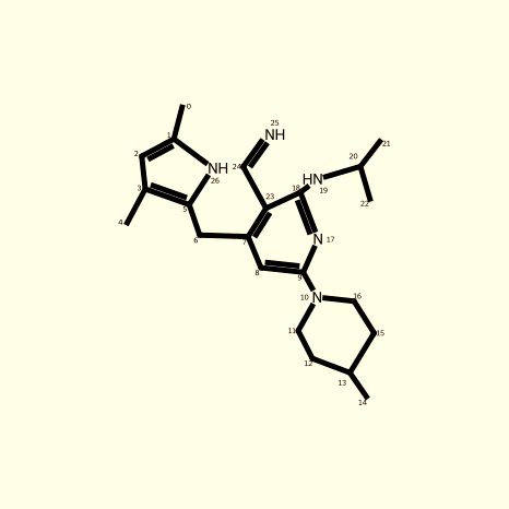 Cc1cc(C)c(Cc2cc(N3CCC(C)CC3)nc(NC(C)C)c2C=N)[nH]1